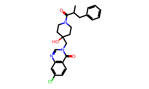 CC(Cc1ccccc1)C(=O)N1CCC(O)(Cn2cnc3cc(Cl)ccc3c2=O)CC1